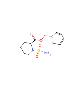 NS(=O)(=O)N1CCCC[C@H]1C(=O)OCc1ccccc1